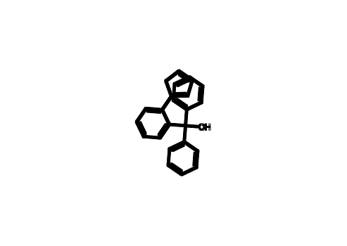 OC(c1ccccc1)(c1ccccc1)c1ccccc1C1=CC=CC1